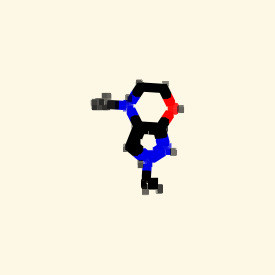 Cn1cc2c(n1)OCCN2C(C)(C)C